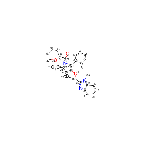 Cc1ccccc1[C@H]1[C@@H](OCc2nc3ccccc3n2C)[C@H](C(C)(C)C)[C@@H](C(=O)O)N1C(=O)[C@@H]1CCCCO1